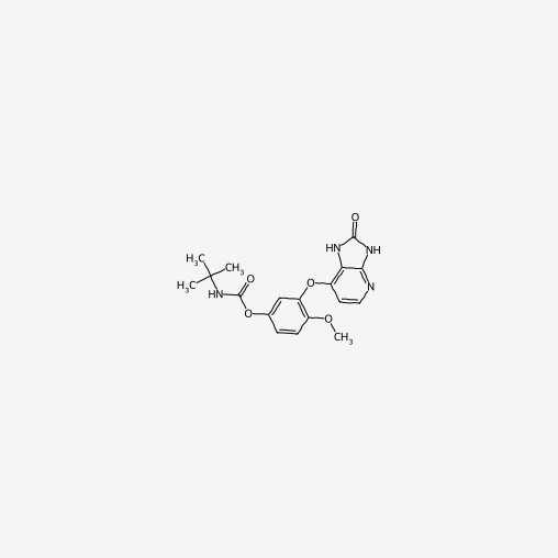 COc1ccc(OC(=O)NC(C)(C)C)cc1Oc1ccnc2[nH]c(=O)[nH]c12